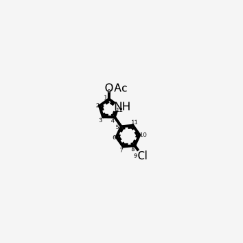 CC(=O)Oc1ccc(-c2ccc(Cl)cc2)[nH]1